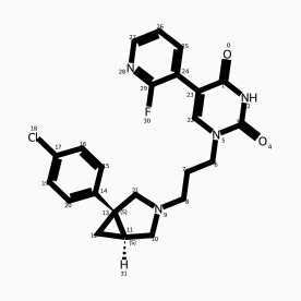 O=c1[nH]c(=O)n(CCCN2C[C@H]3C[C@]3(c3ccc(Cl)cc3)C2)cc1-c1cccnc1F